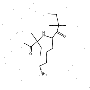 CCC(C)(C)C(=O)C(CCCCN)NC(C)(CC)C(C)=O